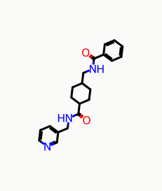 O=C(NCC1CCC(C(=O)NCc2cccnc2)CC1)c1ccccc1